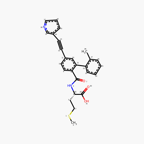 CSCC[C@H](NC(=O)c1ccc(C#Cc2cccnc2)cc1-c1ccccc1C)C(=O)O